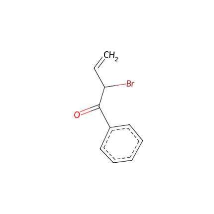 C=CC(Br)C(=O)c1ccccc1